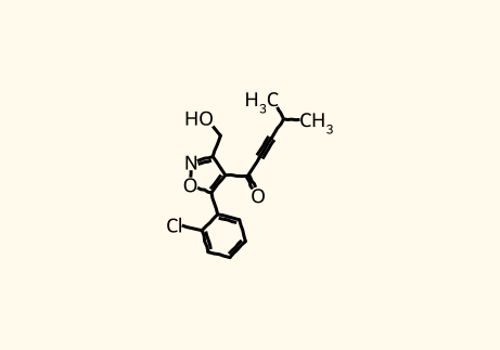 CC(C)C#CC(=O)c1c(CO)noc1-c1ccccc1Cl